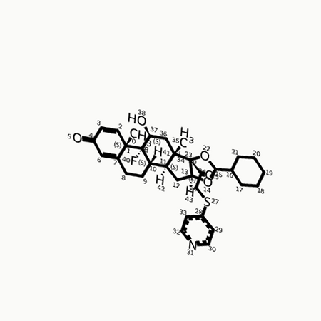 C[C@]12C=CC(=O)C=C1CC[C@H]1[C@@H]3C[C@@H]4OC(C5CCCCC5)O[C@@]4(C(=O)CSc4ccncc4)[C@@]3(C)C[C@H](O)[C@@]12F